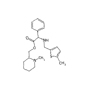 Cc1ccc(CNC(C(=O)OCC2CCCCN2C)c2ccccc2)s1